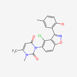 Cc1ccc([O])c(-c2noc3ccc(-n4c(=O)cc(C(F)(F)F)n(C)c4=O)c(Cl)c23)c1